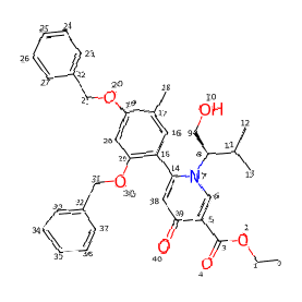 CCOC(=O)c1cn([C@@H](CO)C(C)C)c(-c2cc(C)c(OCc3ccccc3)cc2OCc2ccccc2)cc1=O